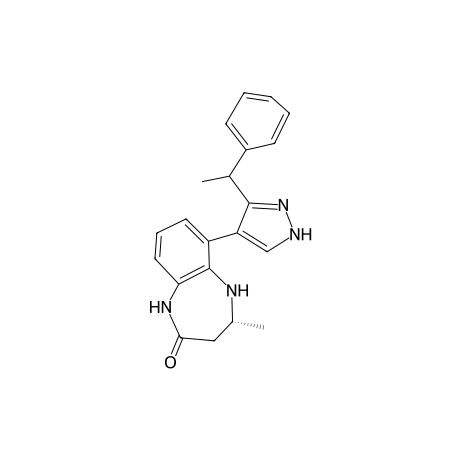 CC(c1ccccc1)c1n[nH]cc1-c1cccc2c1N[C@H](C)CC(=O)N2